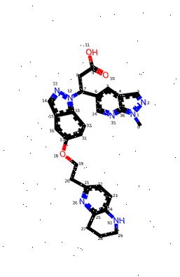 Cn1ncc2cc(C(CC(=O)O)n3ncc4cc(OCCc5ccc6c(n5)CCCN6)ccc43)cnc21